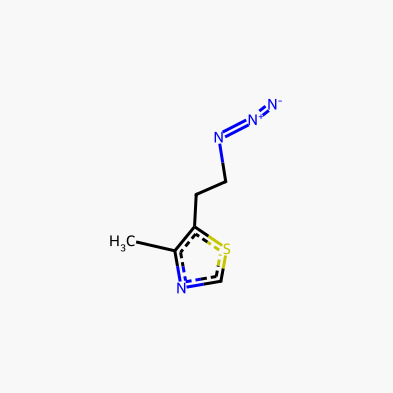 Cc1ncsc1CCN=[N+]=[N-]